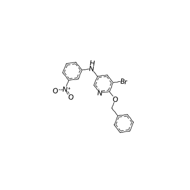 O=[N+]([O-])c1cccc(Nc2cnc(OCc3ccccc3)c(Br)c2)c1